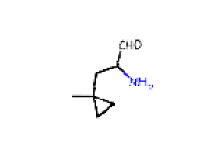 CC1(CC(N)C=O)CC1